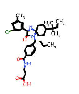 CCC[C@H](c1ccc(C(=O)NCCC(=O)O)cc1)N1C(=O)C(c2cc(C)cc(Cl)c2)=NC12CCC(C(C)(C)CC)CC2